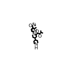 Cc1nc(N2CCC(C3CCNCC3)CC2C(=O)C(=O)C(C)C)ccc1C(=O)N(C)C